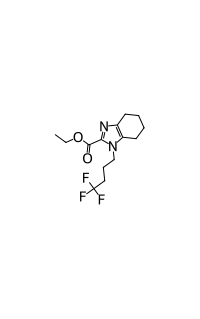 CCOC(=O)c1nc2c(n1CCCC(F)(F)F)CCCC2